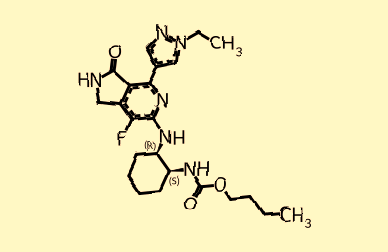 CCCCOC(=O)N[C@H]1CCCC[C@H]1Nc1nc(-c2cnn(CC)c2)c2c(c1F)CNC2=O